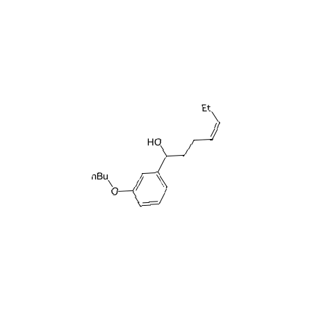 CC/C=C\CCC(O)c1cccc(OCCCC)c1